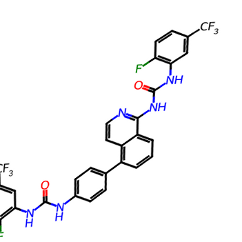 O=C(Nc1ccc(-c2cccc3c(NC(=O)Nc4cc(C(F)(F)F)ccc4F)nccc23)cc1)Nc1cc(C(F)(F)F)ccc1F